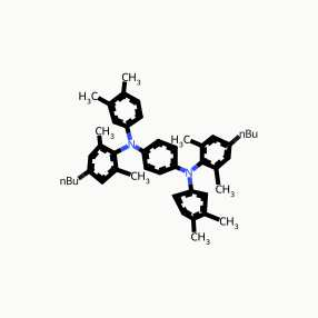 CCCCc1cc(C)c(N(c2ccc(N(c3ccc(C)c(C)c3)c3c(C)cc(CCCC)cc3C)cc2)c2ccc(C)c(C)c2)c(C)c1